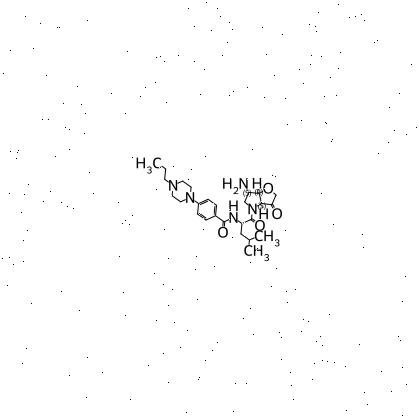 CCCN1CCN(c2ccc(C(=O)NC(CC(C)C)C(=O)N3C[C@H](N)[C@H]4OCC(=O)[C@H]43)cc2)CC1